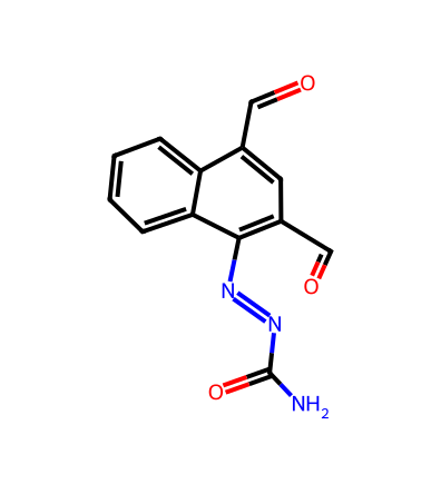 NC(=O)/N=N/c1c(C=O)cc(C=O)c2ccccc12